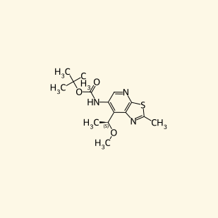 CO[C@@H](C)c1c(NC(=O)OC(C)(C)C)cnc2sc(C)nc12